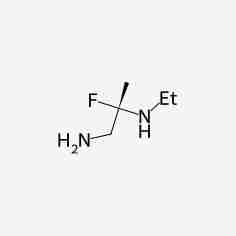 CCN[C@@](C)(F)CN